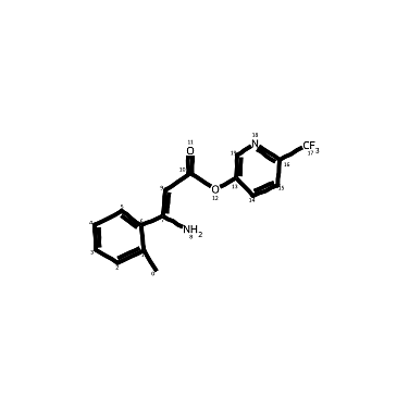 Cc1ccccc1C(N)=CC(=O)Oc1ccc(C(F)(F)F)nc1